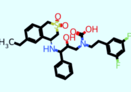 CCc1ccc2c(c1)[C@@H](NC(c1ccccc1)C(O)CN(CCc1cc(F)cc(F)c1)C(=O)O)CS(=O)(=O)C2